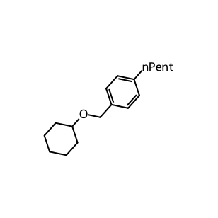 CCCCCc1ccc(COC2CCCCC2)cc1